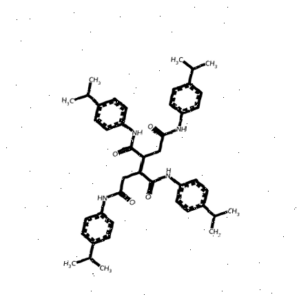 CC(C)c1ccc(NC(=O)CC(C(=O)Nc2ccc(C(C)C)cc2)C(CC(=O)Nc2ccc(C(C)C)cc2)C(=O)Nc2ccc(C(C)C)cc2)cc1